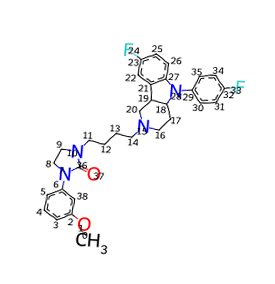 COc1cccc(N2CCN(CCCCN3CCC4C(C3)c3cc(F)ccc3N4c3ccc(F)cc3)C2=O)c1